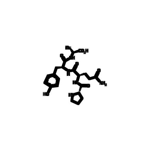 CC[C@H](C)[C@H](NC(=O)[C@H](Cc1ccc(O)cc1)NC(=O)[C@H](CCC(N)=O)NC(=O)[C@@H]1CCCN1)C(=O)O